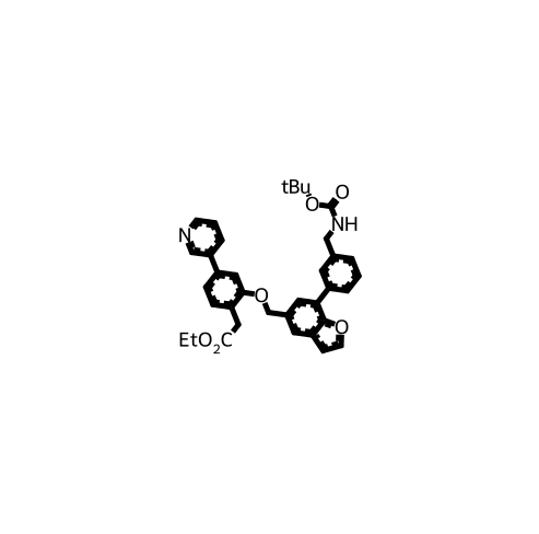 CCOC(=O)Cc1ccc(-c2cccnc2)cc1OCc1cc(-c2cccc(CNC(=O)OC(C)(C)C)c2)c2occc2c1